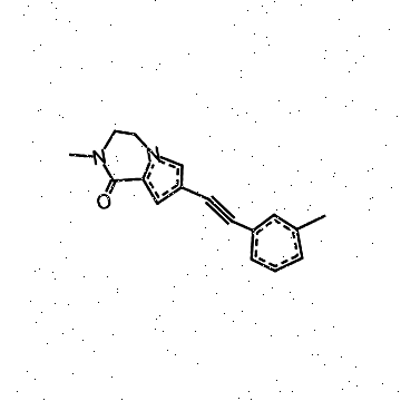 Cc1cccc(C#Cc2cc3n(c2)CCN(C)C3=O)c1